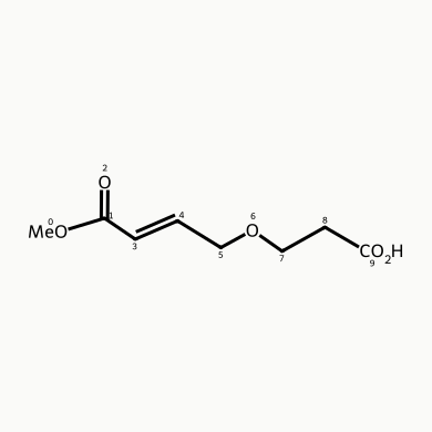 COC(=O)C=CCOCCC(=O)O